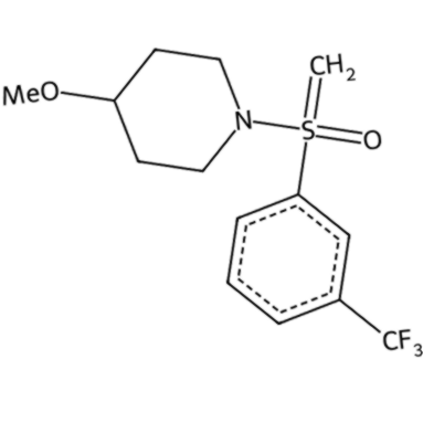 C=S(=O)(c1cccc(C(F)(F)F)c1)N1CCC(OC)CC1